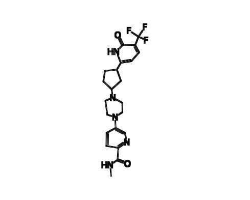 CNC(=O)c1ccc(N2CCN(C3CCC(c4ccc(C(F)(F)F)c(=O)[nH]4)C3)CC2)cn1